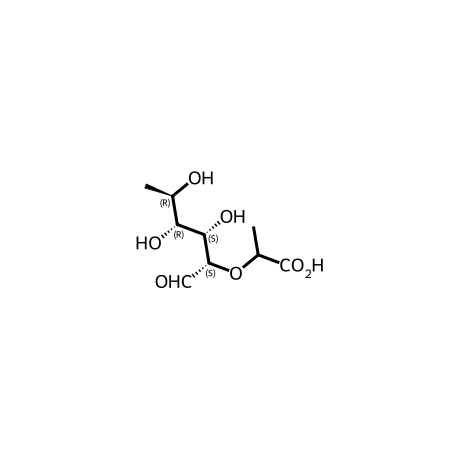 CC(O[C@H](C=O)[C@@H](O)[C@H](O)[C@@H](C)O)C(=O)O